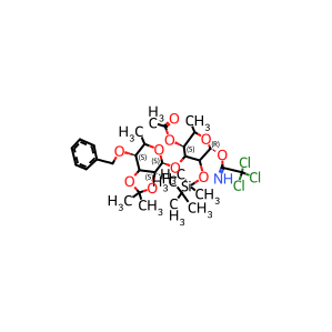 CC(=O)O[C@H]1C(C)O[C@H](OC(=N)C(Cl)(Cl)Cl)C(O[Si](C)(C)C(C)(C)C)C1O[C@@H]1OC(C)[C@H](OCc2ccccc2)C2OC(C)(C)O[C@@H]21